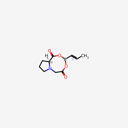 C/C=C/B1OC(=O)CN2CCC[C@H]2C(=O)O1